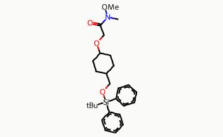 CON(C)C(=O)COC1CCC(CO[Si](c2ccccc2)(c2ccccc2)C(C)(C)C)CC1